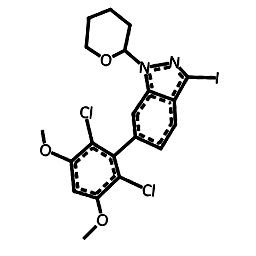 COc1cc(OC)c(Cl)c(-c2ccc3c(I)nn(C4CCCCO4)c3c2)c1Cl